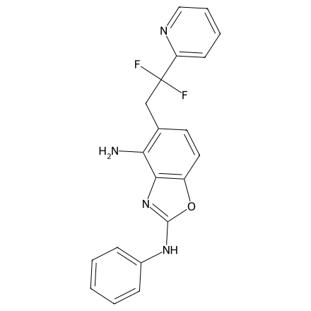 Nc1c(CC(F)(F)c2ccccn2)ccc2oc(Nc3ccccc3)nc12